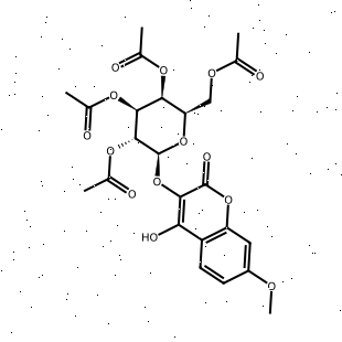 COc1ccc2c(O)c(O[C@@H]3O[C@H](COC(C)=O)[C@H](OC(C)=O)[C@H](OC(C)=O)[C@H]3OC(C)=O)c(=O)oc2c1